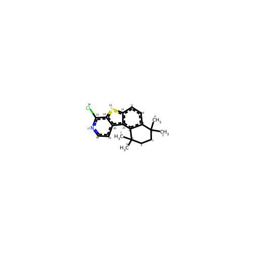 CC1(C)CCC(C)(C)c2c1ccc1sc3c(Cl)nccc3c21